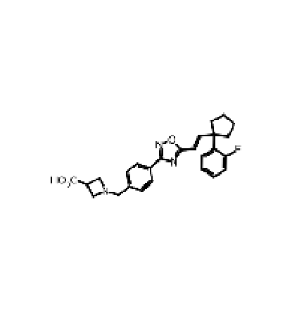 O=C(O)C1CN(Cc2ccc(-c3noc(/C=C/C4(c5ccccc5F)CCCC4)n3)cc2)C1